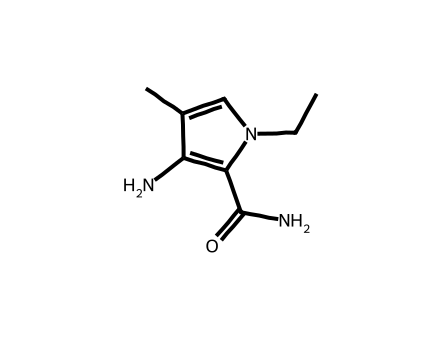 CCn1cc(C)c(N)c1C(N)=O